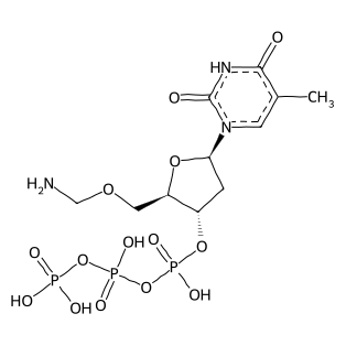 Cc1cn([C@H]2C[C@H](OP(=O)(O)OP(=O)(O)OP(=O)(O)O)[C@@H](COCN)O2)c(=O)[nH]c1=O